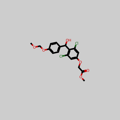 COCOc1ccc(C(O)c2c(Cl)cc(OCC(=O)OC)cc2Cl)cc1